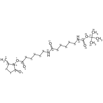 C=C1CCC(=O)N1OC(=O)CCCCCNC(=O)CCCCCNC(=O)OC(C)(C)C